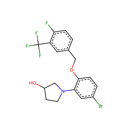 OC1CCN(c2cc(Br)ccc2OCc2ccc(F)c(C(F)(F)F)c2)C1